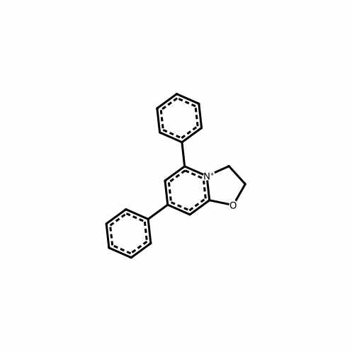 c1ccc(-c2cc3[n+](c(-c4ccccc4)c2)CCO3)cc1